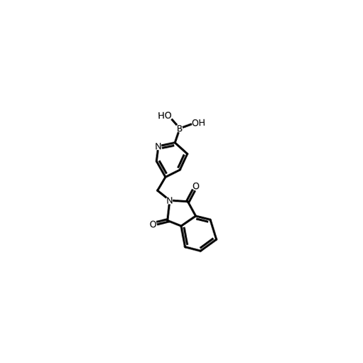 O=C1c2ccccc2C(=O)N1Cc1ccc(B(O)O)nc1